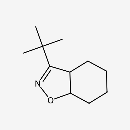 CC(C)(C)C1=NOC2CCCCC12